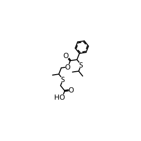 CC(C)SC(C(=O)OCC(C)SCC(=O)O)c1ccccc1